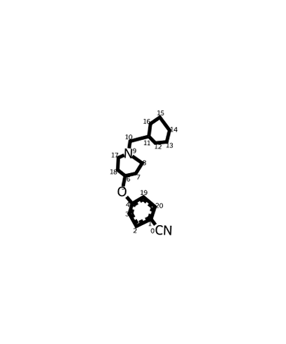 N#Cc1ccc(OC2CCN(CC3CCCCC3)CC2)cc1